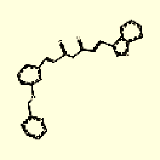 O=C(C=Cc1cccc(OCc2ccccn2)c1)CC(=O)C=Cc1c[nH]c2ccccc12